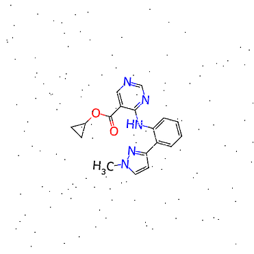 Cn1ccc(-c2ccccc2Nc2ncncc2C(=O)OC2CC2)n1